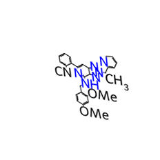 COc1ccc(CNc2nc(-c3ccccc3C#N)cc3nn(C(C)c4ccccn4)nc23)c(OC)c1